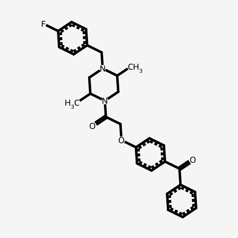 CC1CN(C(=O)COc2ccc(C(=O)c3ccccc3)cc2)C(C)CN1Cc1ccc(F)cc1